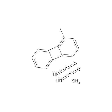 Cc1cccc2c1-c1ccccc1-2.N=C=O.N=C=O.[SiH4]